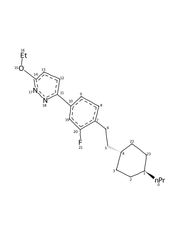 CCC[C@H]1CC[C@H](CCc2ccc(-c3ccc(OCC)nn3)cc2F)CC1